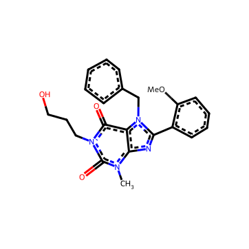 COc1ccccc1-c1nc2c(c(=O)n(CCCO)c(=O)n2C)n1Cc1ccccc1